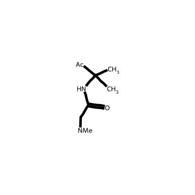 CNCC(=O)NC(C)(C)C(C)=O